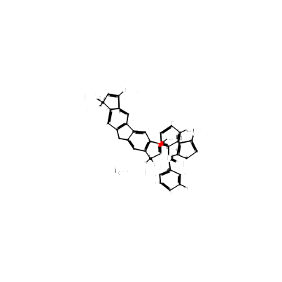 Cl.Cl.[CH2]=[Zr]([C]1=CC(C(C)(C)C)=CC1)([C]1=C(C(C)(C)C)c2cc3c(cc2C1(C)C)Cc1cc2c(cc1-3)C(C(C)(C)C)=CC2(C)C)([c]1cccc(Cl)c1)[c]1cccc(Cl)c1